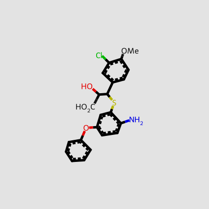 COc1ccc(C(Sc2cc(Oc3ccccc3)ccc2N)C(O)C(=O)O)cc1Cl